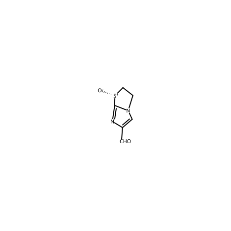 O=Cc1cn2c(n1)[S@+]([O-])CC2